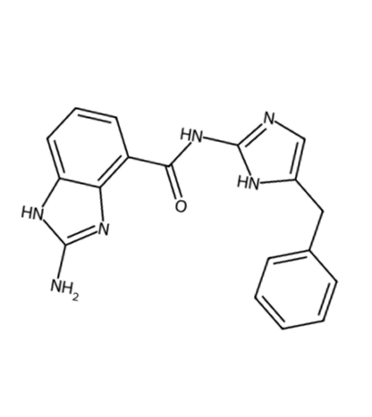 Nc1nc2c(C(=O)Nc3ncc(Cc4ccccc4)[nH]3)cccc2[nH]1